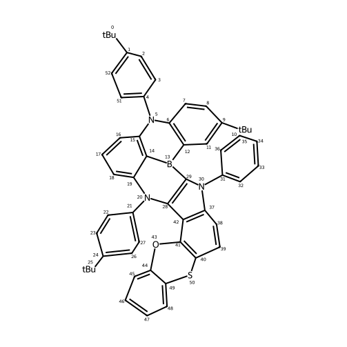 CC(C)(C)c1ccc(N2c3ccc(C(C)(C)C)cc3B3c4c2cccc4N(c2ccc(C(C)(C)C)cc2)c2c3n(-c3ccccc3)c3ccc4c(c23)Oc2ccccc2S4)cc1